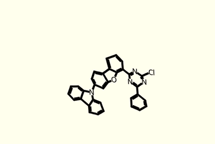 Clc1nc(-c2ccccc2)nc(-c2cccc3c2oc2cc(-n4c5ccccc5c5ccccc54)ccc23)n1